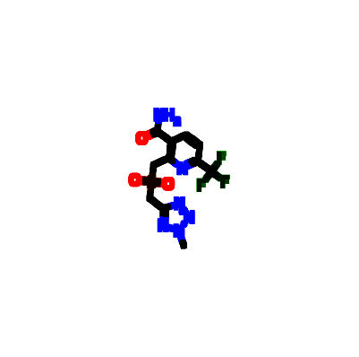 Cn1nnc(CS(=O)(=O)Cc2nc(C(F)(F)F)ccc2C(N)=O)n1